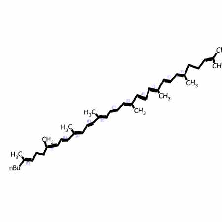 CCCC/C(C)=C/CC/C(C)=C/C=C/C(C)=C/C=C/C(C)=C/C=C/C=C(C)/C=C/C=C(C)/C=C/C=C(\C)CCC=C(C)C